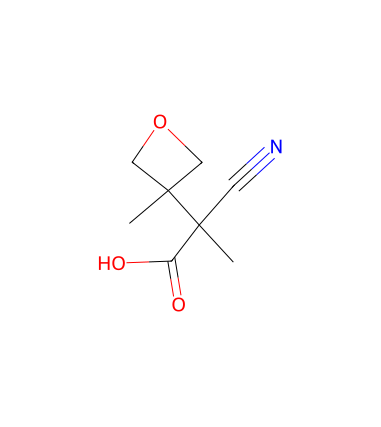 CC1(C(C)(C#N)C(=O)O)COC1